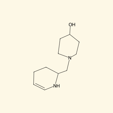 OC1CCN(CC2CCC=CN2)CC1